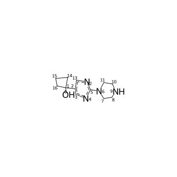 OC1(c2cnc(N3CCNCC3)nc2)CCC1